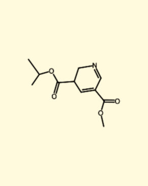 COC(=O)C1=CC(C(=O)OC(C)C)CN=C1